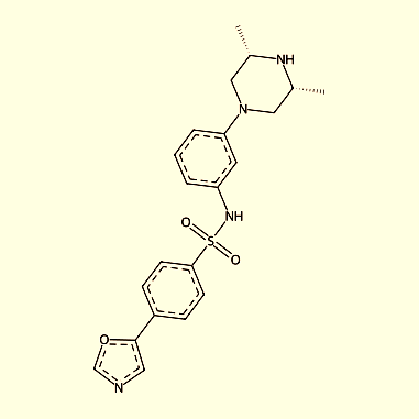 C[C@@H]1CN(c2cccc(NS(=O)(=O)c3ccc(-c4cnco4)cc3)c2)C[C@H](C)N1